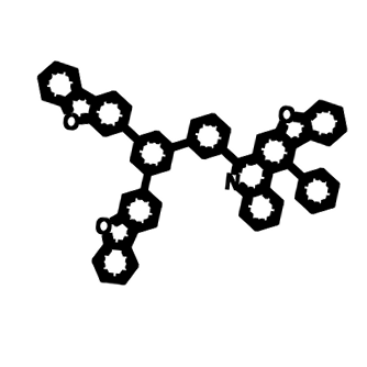 c1ccc(-c2c3c(cc4c(-c5cccc(-c6cc(-c7ccc8c(c7)oc7ccccc78)cc(-c7ccc8c(c7)oc7ccccc78)c6)c5)nc5ccccc5c24)oc2ccccc23)cc1